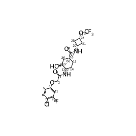 O=C(COc1ccc(Cl)c(F)c1)N[C@H]1CC[C@H](C(=O)N[C@H]2C[C@@H](OC(F)(F)F)C2)C[C@@H]1O